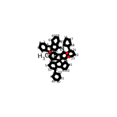 CC1(C)c2ccccc2-c2c1cc(N(c1ccccc1-c1ccccc1)c1cccc3c1-c1ccccc1C31c3ccccc3-c3c(-c4ccccc4)cccc31)c1ccccc21